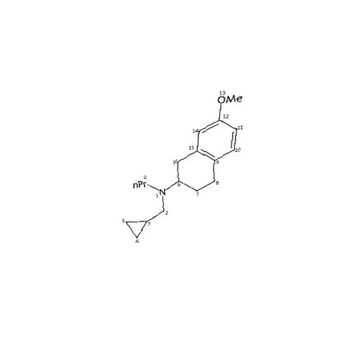 CCCN(CC1CC1)C1CCc2ccc(OC)cc2C1